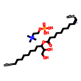 CCCCCCCC/C=C\CCCCCCCC(=O)OC(CCCCCCCCCCCCCCCCCC)C(O)CO.C[N+](C)(C)CCOP(=O)(O)O